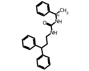 C[C@@H](NC(=O)NCCC(c1ccccc1)c1ccccc1)c1ccccc1